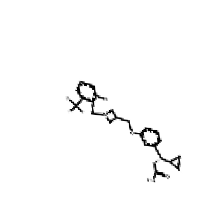 O=C(O)C[C@H](c1cccc(OCC2CN(Cc3c(F)cccc3C(F)(F)F)C2)c1)C1CC1